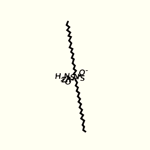 CCCCCCCCCCCCCCCCCCCCN(CCCCCCCCCCCCCCCCCCCC)C([O-])=S.NC([O-])=S.[Zn+2]